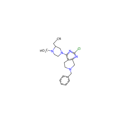 N#CCC1CN(c2nc(Cl)nc3c2CCN(Cc2ccccc2)C3)CCN1C(=O)O